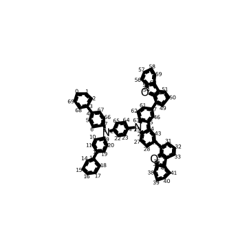 c1ccc(-c2ccc(N(c3ccc(-c4ccccc4)cc3)c3ccc(-n4c5ccc(-c6cccc7c6oc6ccccc67)cc5c5cc(-c6cccc7c6oc6ccccc67)ccc54)cc3)cc2)cc1